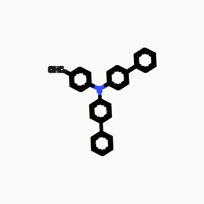 O=Cc1ccc(N(c2ccc(-c3ccccc3)cc2)c2ccc(-c3ccccc3)cc2)cc1